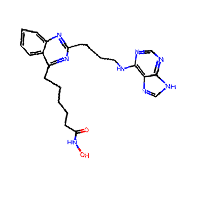 O=C(CCCCCc1nc(CCCNc2ncnc3[nH]cnc23)nc2ccccc12)NO